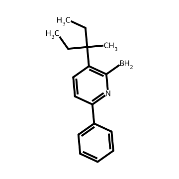 Bc1nc(-c2ccccc2)ccc1C(C)(CC)CC